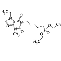 CCOP(=O)(CCCCCn1c(=O)c2c(ncn2CC)n(C)c1=O)OCC